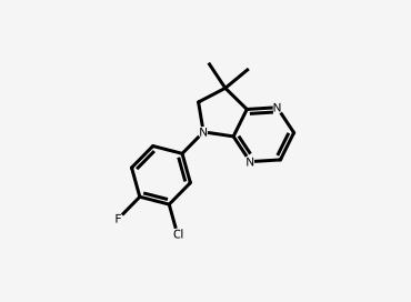 CC1(C)CN(c2ccc(F)c(Cl)c2)c2nccnc21